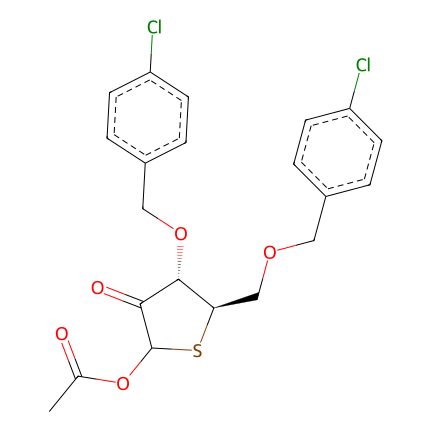 CC(=O)OC1S[C@H](COCc2ccc(Cl)cc2)[C@@H](OCc2ccc(Cl)cc2)C1=O